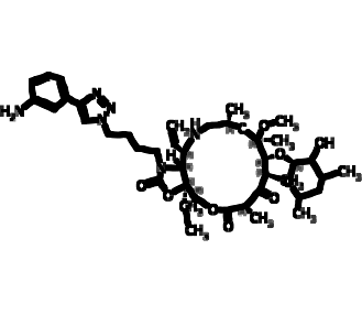 C=C[C@H]1NC[C@H](C)C[C@@](C)(OC)[C@H](O[C@@H]2OC(C)CC(C)C2O)[C@@H](C)C(=O)[C@@H](C)C(=O)O[C@H](CC)[C@@]2(C)OC(=O)N(CCCCn3cc(-c4cccc(N)c4)nn3)[C@H]12